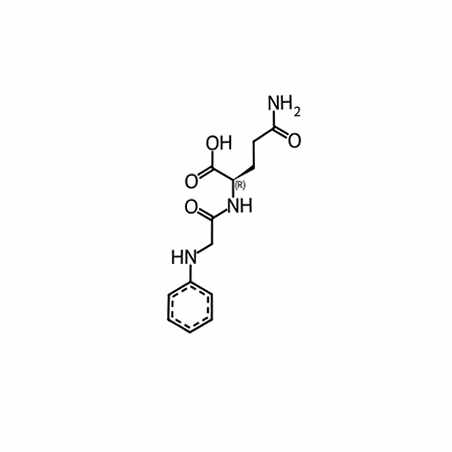 NC(=O)CC[C@@H](NC(=O)CNc1ccccc1)C(=O)O